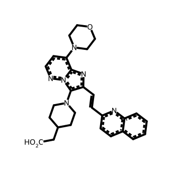 O=C(O)CC1CCN(c2c(C=Cc3ccc4ccccc4n3)nc3c(N4CCOCC4)ccnn23)CC1